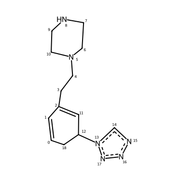 C1=CC(CCN2CCNCC2)=CC(n2cnnn2)C1